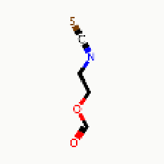 O=COCCN=C=S